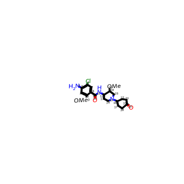 COc1cc(N)c(Cl)cc1C(=O)NC1CCN(C2CCC(=O)CC2)CC1OC